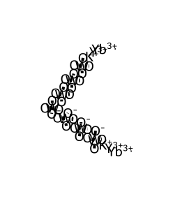 [K+].[K+].[O]=[W](=[O])([O-])[O-].[O]=[W](=[O])([O-])[O-].[O]=[W](=[O])([O-])[O-].[O]=[W](=[O])([O-])[O-].[O]=[W](=[O])([O-])[O-].[O]=[W](=[O])([O-])[O-].[O]=[W](=[O])([O-])[O-].[Y+3].[Y+3].[Yb+3].[Yb+3]